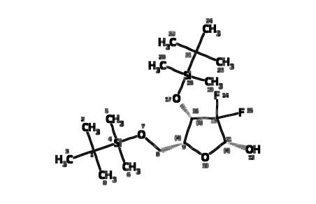 CC(C)(C)[Si](C)(C)OC[C@H]1O[C@@H](O)C(F)(F)[C@H]1O[Si](C)(C)C(C)(C)C